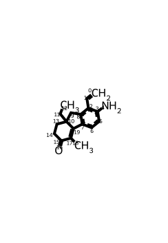 C=Cc1c(N)ccc2c1CC1(CC)CCC(=O)C(C)=C21